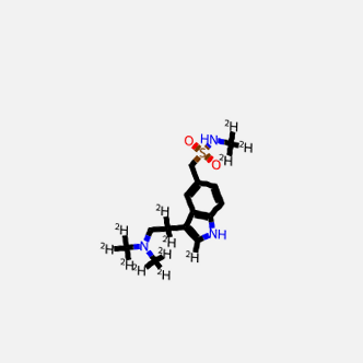 [2H]c1[nH]c2ccc(CS(=O)(=O)NC([2H])([2H])[2H])cc2c1C([2H])([2H])CN(C([2H])([2H])[2H])C([2H])([2H])[2H]